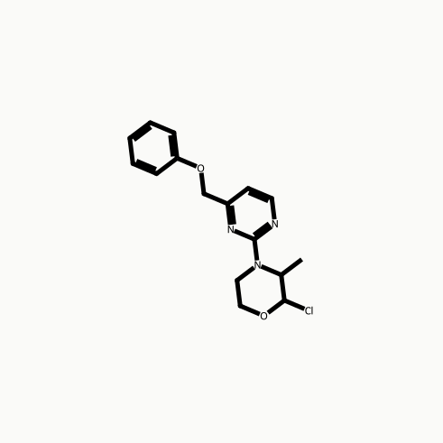 CC1C(Cl)OCCN1c1nccc(COc2ccccc2)n1